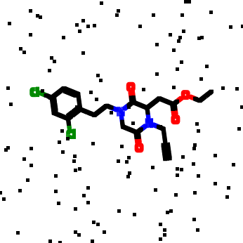 C#CCN1C(=O)CN(CCc2ccc(Cl)cc2Cl)C(=O)C1CC(=O)OCC